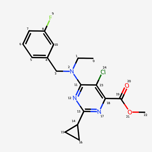 CCN(Cc1cccc(F)c1)c1nc(C2CC2)nc(C(=O)OC)c1Cl